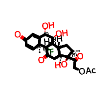 CC(=O)OCC(=O)[C@@]1(O)[C@@H](C)C[C@H]2[C@@H]3[C@@H](O)[C@@H](O)C4=CC(=O)C=C[C@]4(C)[C@@]3(F)C(=O)C[C@@]21C